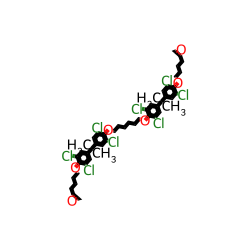 CC(C)(c1cc(Cl)c(OCCCCCCOc2c(Cl)cc(C(C)(C)c3cc(Cl)c(OCCCCC4CO4)c(Cl)c3)cc2Cl)c(Cl)c1)c1cc(Cl)c(OCCCCC2CO2)c(Cl)c1